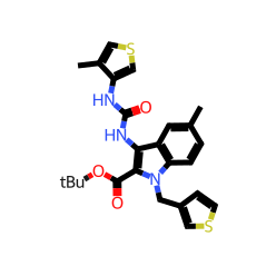 Cc1ccc2c(c1)c(NC(=O)Nc1cscc1C)c(C(=O)OC(C)(C)C)n2Cc1ccsc1